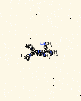 CCN(Cc1ccccc1)c1ccc2c(c1)-c1cc(N(CC)Cc3ccccc3)ccc1C2c1ccc(N(C)C)cc1.CNc1ccc(C2c3ccc(N(C)C)cc3-c3cc(N(C)C)ccc32)cc1